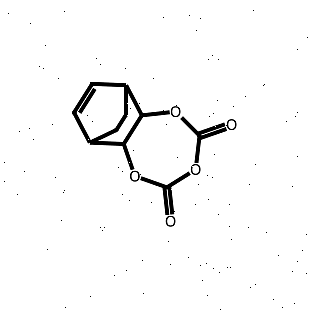 O=C1OC(=O)OC2C3C=CC(CC3)C2O1